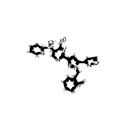 O=Nc1nc(-c2cc(-c3ccon3)n(Cc3ccccc3F)n2)ncc1[S+]([O-])c1ccccn1